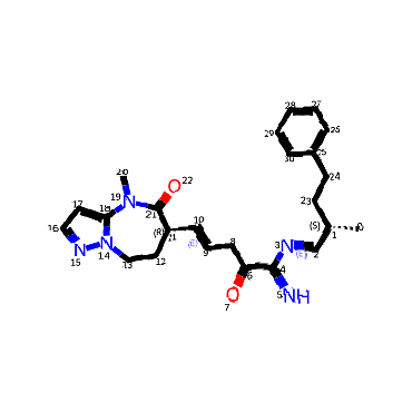 C[C@H](/C=N/C(=N)C(=O)C/C=C/[C@H]1CCn2nccc2N(C)C1=O)CCc1ccccc1